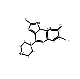 Cc1nc2c(N3CCNCC3)nc3cc(F)c(Cl)cc3n2n1